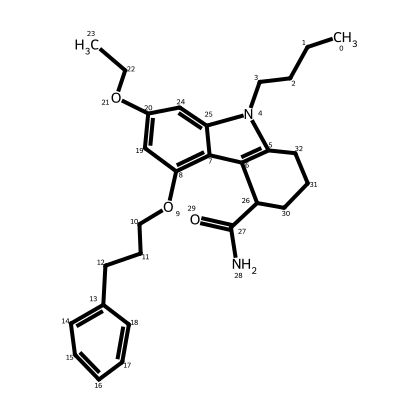 CCCCn1c2c(c3c(OCCCc4ccccc4)cc(OCC)cc31)C(C(N)=O)CCC2